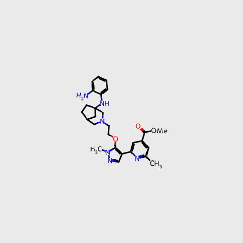 COC(=O)c1cc(C)nc(-c2cnn(C)c2OCCN2CC3CCC(Nc4ccccc4N)(C3)C2)c1